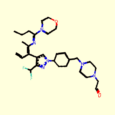 C=C/C(=C(C)/N=C(\CCC)N1CCOCC1)c1cn(C2CCC(CN3CCN(CC=O)CC3)CC2)nc1C(F)F